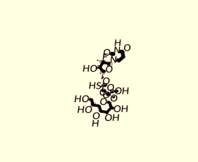 C[C@@]1(F)[C@H](O)[C@@H](COP(=O)(S)OP(=O)(O)OC2OC([C@@H](O)CO)C(O)C(O)C2O)O[C@H]1n1ccc(=O)[nH]c1=O